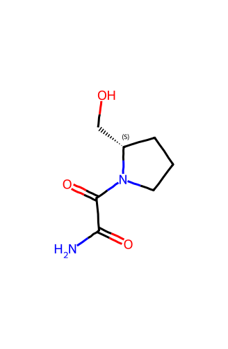 NC(=O)C(=O)N1CCC[C@H]1CO